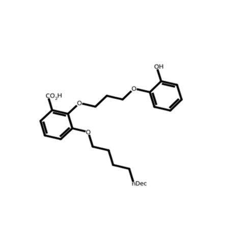 CCCCCCCCCCCCCCOc1cccc(C(=O)O)c1OCCCOc1ccccc1O